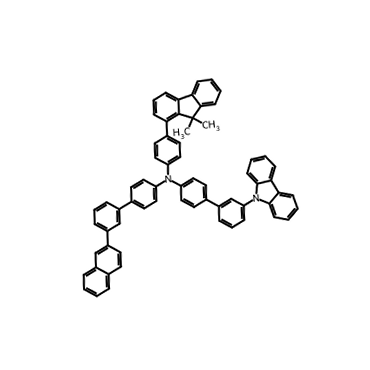 CC1(C)c2ccccc2-c2cccc(-c3ccc(N(c4ccc(-c5cccc(-c6ccc7ccccc7c6)c5)cc4)c4ccc(-c5cccc(-n6c7ccccc7c7ccccc76)c5)cc4)cc3)c21